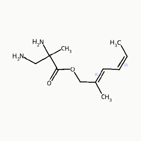 C/C=C\C=C(/C)COC(=O)C(C)(N)CN